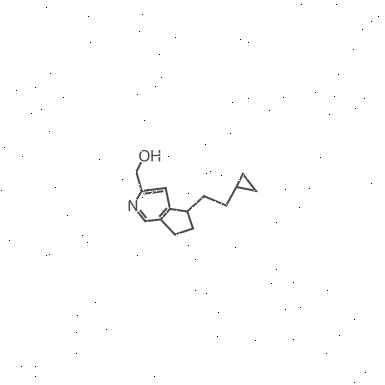 OCc1cc2c(cn1)CCC2CCC1CC1